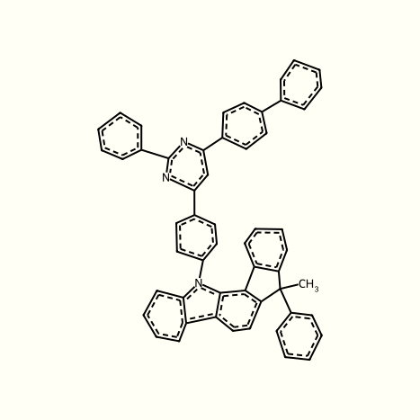 CC1(c2ccccc2)c2ccccc2-c2c1ccc1c3ccccc3n(-c3ccc(-c4cc(-c5ccc(-c6ccccc6)cc5)nc(-c5ccccc5)n4)cc3)c21